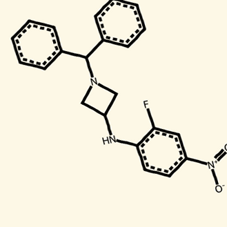 O=[N+]([O-])c1ccc(NC2CN(C(c3ccccc3)c3ccccc3)C2)c(F)c1